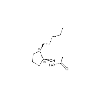 CC(=O)O.CCCCC[C@@H]1CCC[C@@H]1O